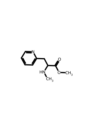 CNC(Cc1ccccn1)C(=O)OC